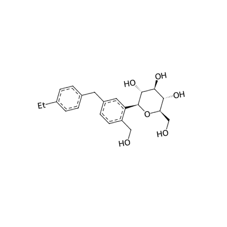 CCc1ccc(Cc2ccc(CO)c([C@@H]3O[C@H](CO)[C@@H](O)[C@H](O)[C@H]3O)c2)cc1